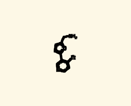 CCc1ccncc1-c1ccc(CN)o1